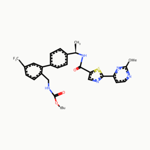 COc1nccc(-c2ncc(C(=O)N[C@H](C)c3ccc(-c4cc(C(F)(F)F)ccc4CNC(=O)OC(C)(C)C)cc3)s2)n1